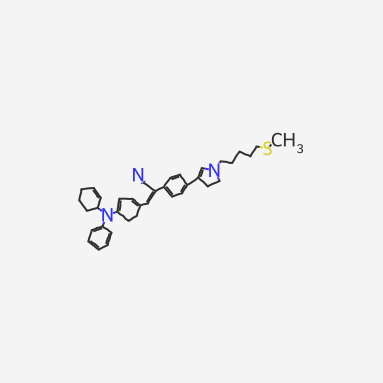 CSCCCCCN1C=C(c2ccc(/C(C#N)=C/C3=CC=C(N(c4ccccc4)C4C=CCCC4)CC3)cc2)CC1